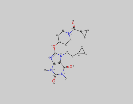 Cn1c(=O)c2c(nc(OC3CCN(C(=O)C4CC4)CC3)n2CCC2CC2)n(C)c1=O